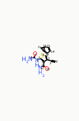 C#Cc1csc(NC(N)=O)c1C(N)=O.c1cc2cc-2c1